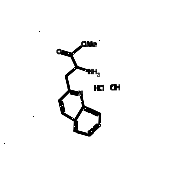 COC(=O)C(N)Cc1ccc2ccccc2n1.Cl.Cl